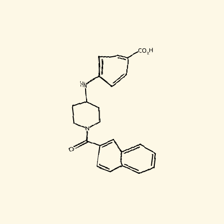 O=C(O)c1ccc(NC2CCN(C(=O)c3ccc4ccccc4c3)CC2)cc1